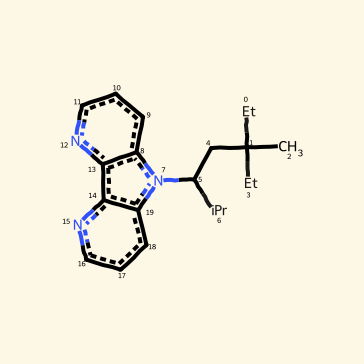 CCC(C)(CC)CC(C(C)C)n1c2cccnc2c2ncccc21